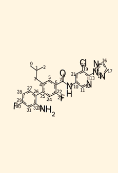 CC(C)Cc1cc(C(=O)Nc2cnc(-n3nccn3)c(Cl)c2)c(F)cc1-c1ccc(F)cc1N